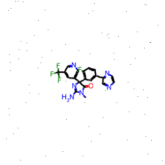 CN1C(=O)C(c2cncc(C(F)(F)F)c2)(c2cc(-c3cnccn3)ccc2F)N=C1N